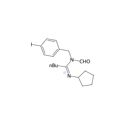 CCCC/C(=N/C1CCCC1)N(C=O)Cc1ccc(I)cc1